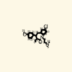 CCC1C(=O)N(CCN(C)C)c2ccc(Cl)cc2CC1c1ccc(OC)cc1